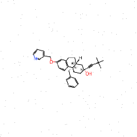 CC(C)(C)C#C[C@@]1(O)CC[C@@]2(Cc3ccccc3)c3ccc(OCc4cccnc4)cc3CC[C@@H]2C1